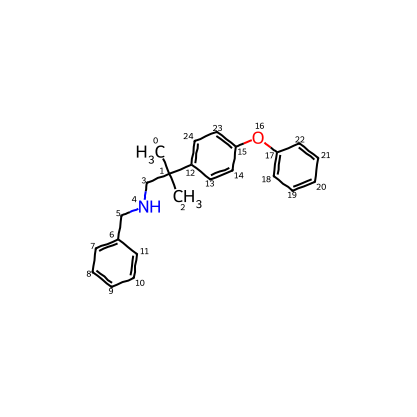 CC(C)(CNCc1ccccc1)c1ccc(Oc2ccccc2)cc1